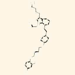 O=C(O)CCCc1cn(CC(=O)O)c2c(C=Cc3ccc(OC/C=C/COc4ccc(Cl)cc4F)cc3)cccc12